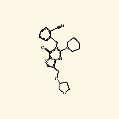 N#Cc1ccccc1Cn1c(N2CCCCC2)nc2c(COC3CCOC3)csc2c1=O